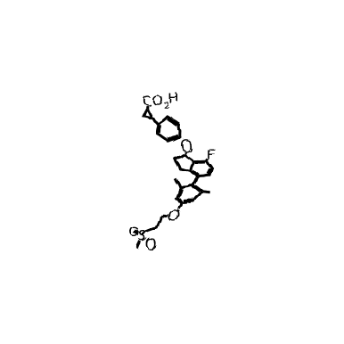 Cc1cc(OCCCS(C)(=O)=O)cc(C)c1-c1ccc(F)c2c1CC[C@H]2Oc1ccc(C2CC2C(=O)O)cc1